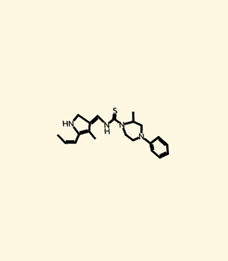 C/C=C\C1=C(C)C(=C\NC(=S)N2CCN(c3ccccc3)CC2C)/CN1